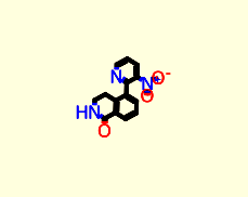 O=C1NCCc2c1cccc2-c1ncccc1[N+](=O)[O-]